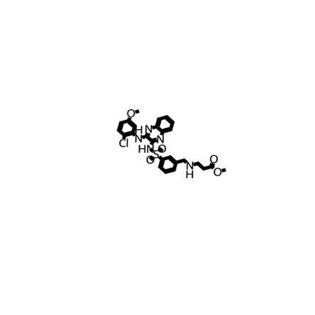 COC(=O)CCNCc1cccc(S(=O)(=O)Nc2nc3ccccc3nc2Nc2cc(OC)ccc2Cl)c1